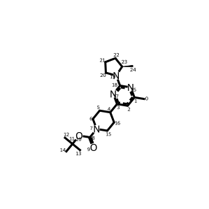 Cc1cc(C2CCN(C(=O)OC(C)(C)C)CC2)nc(N2CCC[C@H]2C)n1